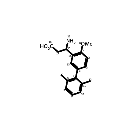 COc1ccc(-c2c(C)cccc2C)cc1C(N)CC(=O)O